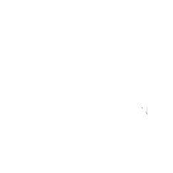 N#Cc1ccc2c(ccc3[c]cccc32)c1